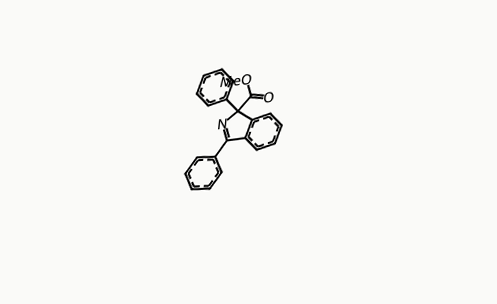 COC(=O)C1(c2ccccc2)N=C(c2ccccc2)c2ccccc21